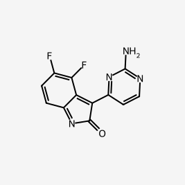 Nc1nccc(C2=c3c(F)c(F)ccc3=NC2=O)n1